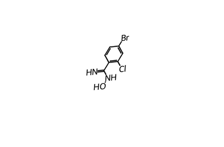 N=C(NO)c1ccc(Br)cc1Cl